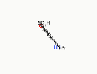 CCCNCCCCCCCCCCCCCCCCCCCCCCCOCCC(=O)O